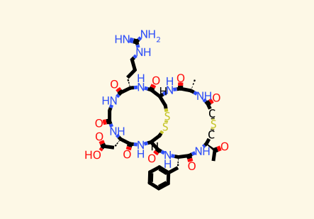 CC(=O)[C@@H]1CSCC(=O)N[C@@H](C)C(=O)N[C@H]2CSSC[C@H](NC(=O)[C@H](CC(=O)O)NC(=O)CNC(=O)[C@H](CCCNC(=N)N)NC2=O)C(=O)N[C@@H](Cc2ccccc2)C(=O)N1